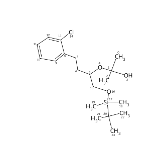 CC(C)(O)OC(CCc1ccccc1Cl)CO[Si](C)(C)C(C)(C)C